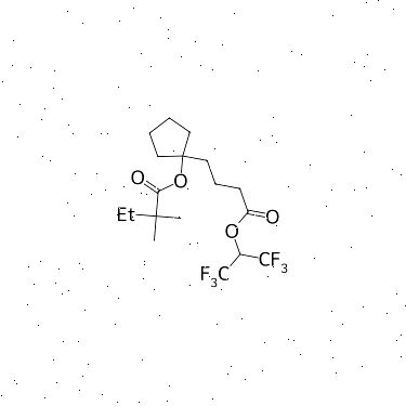 CCC(C)(C)C(=O)OC1(CCCC(=O)OC(C(F)(F)F)C(F)(F)F)CCCC1